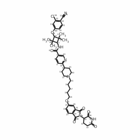 CC1(C)C(NC(=O)c2ccc(C3CCN(CCCCCOc4ccc5c(c4)C(=O)N(C4CCC(=O)NC4=O)C5=O)CC3)nc2)C(C)(C)C1Oc1ccc(C#N)c(Cl)c1